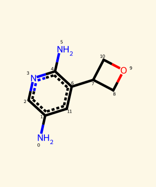 Nc1cnc(N)c(C2COC2)c1